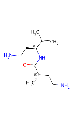 C=C(C)[C@H](CCN)NC(=O)[C@@H](C)CCN